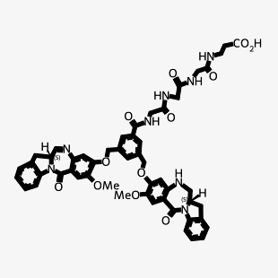 COc1cc2c(cc1OCc1cc(COc3cc4c(cc3OC)C(=O)N3c5ccccc5C[C@H]3CN4)cc(C(=O)NCC(=O)NCC(=O)NCC(=O)NCCC(=O)O)c1)N=C[C@@H]1Cc3ccccc3N1C2=O